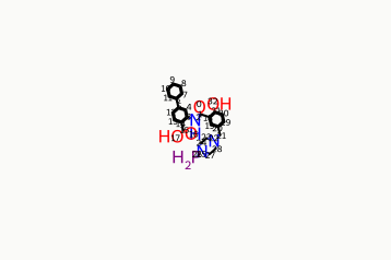 O=C(Nc1cc(-c2ccccc2)ccc1C(=O)O)c1cc(CN2CCN(P)CC2)ccc1O